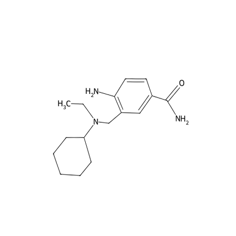 CCN(Cc1cc(C(N)=O)ccc1N)C1CCCCC1